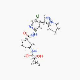 C[C@H](O)C(=O)NC1CCCC(C(=O)Nc2cc(-c3cnn4c3CCCC4)c(Cl)cn2)C1